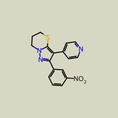 O=[N+]([O-])c1cccc(-c2nn3c(c2-c2ccncc2)SCCC3)c1